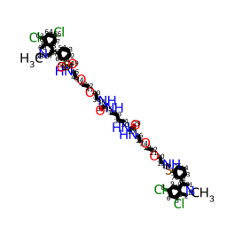 CN1Cc2c(Cl)cc(Cl)cc2[C@@H](c2cccc(SNCCOCCOCCNC(=O)NCCCCNC(=O)NCCOCCOCCNS(=O)(=O)c3cccc([C@@H]4CN(C)Cc5c(Cl)cc(Cl)cc54)c3)c2)C1